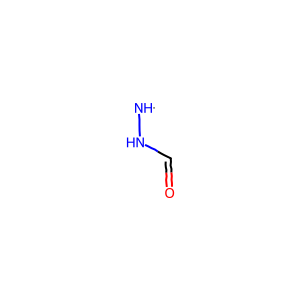 [NH]NC=O